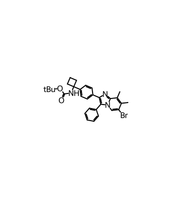 Cc1c(Br)cn2c(-c3ccccc3)c(-c3ccc(C4(NC(=O)OC(C)(C)C)CCC4)cc3)nc2c1C